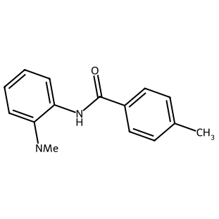 CNc1ccccc1NC(=O)c1ccc(C)cc1